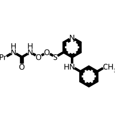 Cc1cccc(Nc2ccncc2SOONC(=O)NC(C)C)c1